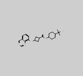 CC(C)(O)C1CCC(NC(=O)C2CC(Oc3cccc4cncnc34)C2)CC1